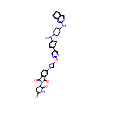 CC(=O)N(c1ccc(-c2cnc(OC3CN(c4ccc5c(c4)C(=O)N(C4CCC(=O)NC4=O)C5=O)C3)nc2)cc1)C1CCC(Nc2ncc3ccccc3n2)CC1